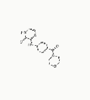 O=C(c1ccc(Nc2ncc[nH]c2=O)cc1)N1CCOCC1